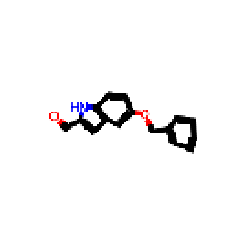 O=Cc1cc2cc(OCc3ccccc3)ccc2[nH]1